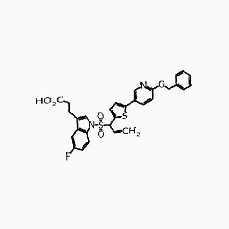 C=CC(c1ccc(-c2ccc(OCc3ccccc3)nc2)s1)S(=O)(=O)n1cc(CCC(=O)O)c2cc(F)ccc21